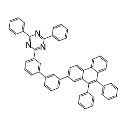 c1ccc(-c2nc(-c3ccccc3)nc(-c3cccc(-c4cccc(-c5ccc6c(c5)c(-c5ccccc5)c(-c5ccccc5)c5ccccc56)c4)c3)n2)cc1